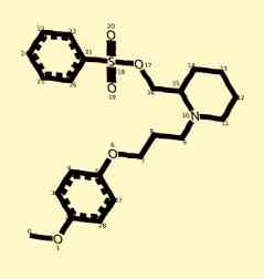 COc1ccc(OCCCN2CCCCC2COS(=O)(=O)c2ccccc2)cc1